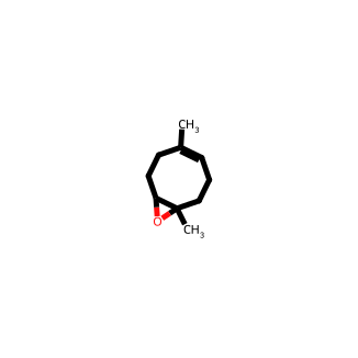 CC1=CCCC2(C)OC2CC1